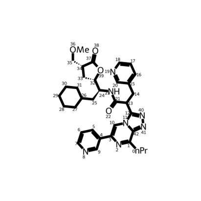 CCCc1nc(-c2cccnc2)cn2c(C(Cc3cccnc3)C(=O)N[C@@H](CC3CCCCC3)[C@@H]3C[C@H](COC)C(=O)O3)nnc12